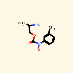 Cc1cccc(N(O)C(=O)OCC(N)C(=O)O)c1